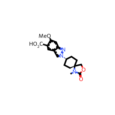 COc1cc2nn([C@H]3CC[C@@]4(CC3)COC(=O)N4C)cc2cc1C(=O)O